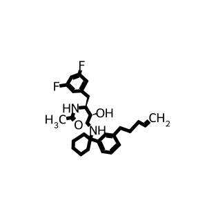 C=CCCCc1cccc(C2(NC[C@@H](O)[C@H](Cc3cc(F)cc(F)c3)NC(C)=O)CCCCC2)c1